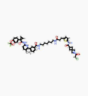 Cc1ccc(NC(=O)C2(c3ccc4c(c3)OC(F)(F)O4)CC2)nc1-c1cccc(C(=O)NCCCCCCCNC(=O)CCc2ccc(NC(=O)C3CC4(C3)CN(C(=O)CCl)C4)s2)c1